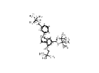 CC(C)(O)COc1cc(B2OC(C)(C)C(C)(C)O2)cc2c1cnn2-c1cccc(CO[Si](C)(C)C(C)(C)C)n1